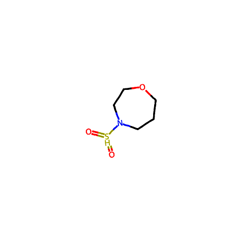 O=[SH](=O)N1CCCOCC1